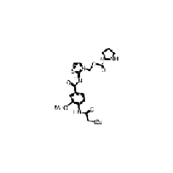 COc1cc(C(=O)/N=c2\sccn2COC(=O)[C@@H]2CCCN2)ccc1NC(=O)CC(C)(C)C